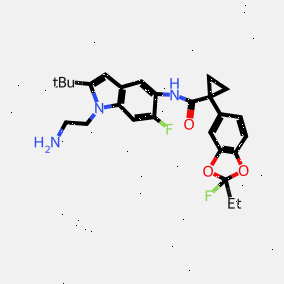 CCC1(F)Oc2ccc(C3(C(=O)Nc4cc5cc(C(C)(C)C)n(CCN)c5cc4F)CC3)cc2O1